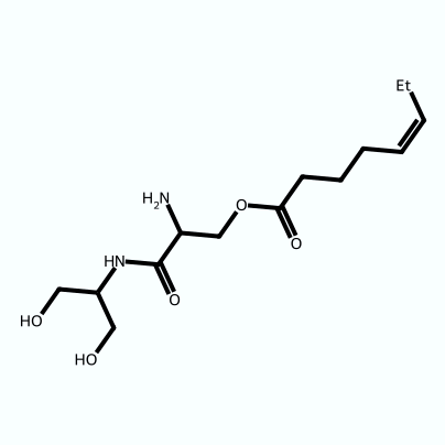 CC/C=C\CCCC(=O)OCC(N)C(=O)NC(CO)CO